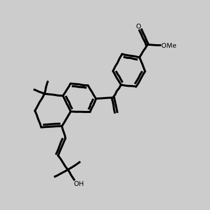 C=C(c1ccc(C(=O)OC)cc1)c1ccc2c(c1)C(C=CC(C)(C)O)=CCC2(C)C